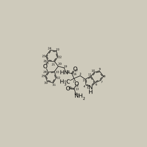 CC(Cc1c[nH]c2ccccc12)(OC(N)=O)C(=O)NCC1c2ccccc2Oc2ccccc21